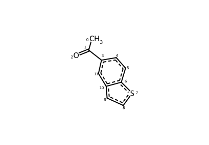 CC(=O)c1ccc2sccc2c1